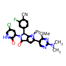 COc1nc(N(C)C)ncc1-c1cc2c(n1C(C)C)C(c1ccc(C#N)c(F)c1)N(c1cc(Cl)c[nH]c1=O)C2=O